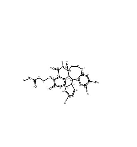 COC(=O)OCOc1c2n(ccc1=O)N1[C@H](C3C=CC(F)=CC3)c3cc(F)c(F)cc3OCC[C@H]1N(C)C2=O